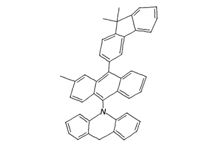 Cc1ccc2c(N3c4ccccc4Cc4ccccc43)c3ccccc3c(-c3ccc4c(c3)-c3ccccc3C4(C)C)c2c1